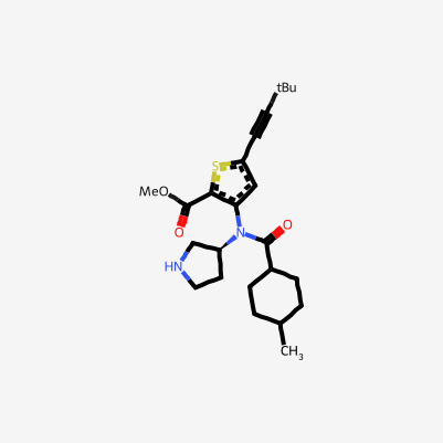 COC(=O)c1sc(C#CC(C)(C)C)cc1N(C(=O)C1CCC(C)CC1)[C@H]1CCNC1